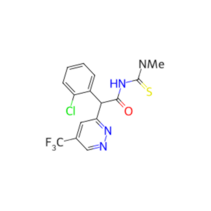 CNC(=S)NC(=O)C(c1cc(C(F)(F)F)cnn1)c1ccccc1Cl